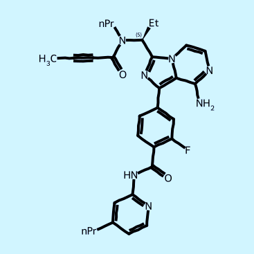 CC#CC(=O)N(CCC)[C@@H](CC)c1nc(-c2ccc(C(=O)Nc3cc(CCC)ccn3)c(F)c2)c2c(N)nccn12